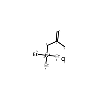 C=C(C)C[N+](CC)(CC)CC.[Cl-]